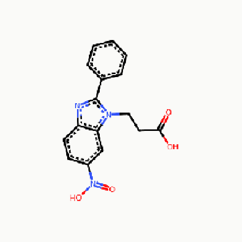 O=C(O)CCn1c(-c2ccccc2)nc2ccc([N+](=O)O)cc21